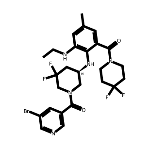 CCNc1cc(C)cc(C(=O)N2CCC(F)(F)CC2)c1N[C@H]1CN(C(=O)c2cncc(Br)c2)CC(F)(F)C1